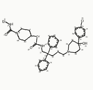 CCNC(=O)N1CCC(OC(=O)NCC(CCCN2CCC(O)(c3ccc(Cl)cc3)CC2)(c2ccccc2)c2ccccc2)CC1